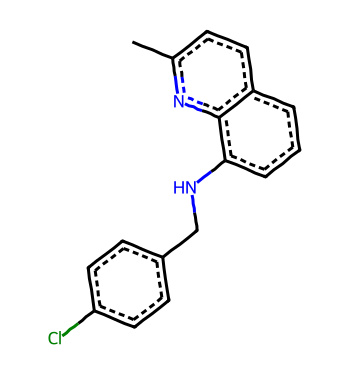 Cc1ccc2cccc(NCc3ccc(Cl)cc3)c2n1